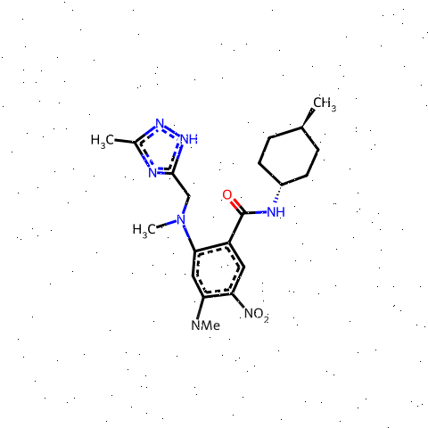 CNc1cc(N(C)Cc2nc(C)n[nH]2)c(C(=O)N[C@H]2CC[C@H](C)CC2)cc1[N+](=O)[O-]